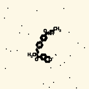 CCCNC(=O)c1ccc(N2CCN(CCN(C)C(=O)c3ccc4c(c3)CCOC4)CC2)cc1